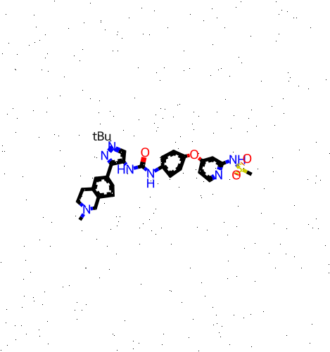 CN1CCc2cc(-c3nn(C(C)(C)C)cc3NC(=O)Nc3ccc(Oc4ccnc(NS(C)(=O)=O)c4)cc3)ccc2C1